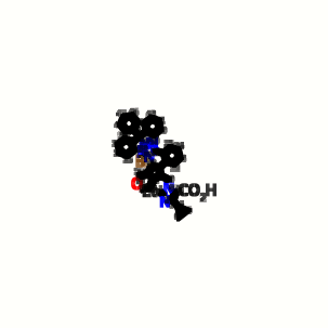 CCc1nc(C2CC2)c(C(=O)O)n1Cc1c2ccocc-2c(Br)c1-c1ccccc1-c1nnn(C(c2ccccc2)(c2ccccc2)c2ccccc2)n1